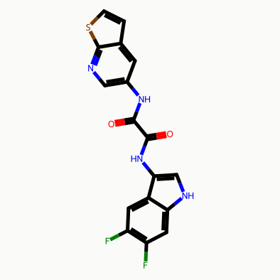 O=C(Nc1cnc2sccc2c1)C(=O)Nc1c[nH]c2cc(F)c(F)cc12